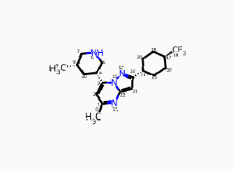 Cc1cc([C@H]2CNC[C@@H](C)C2)n2nc([C@H]3CC[C@H](C(F)(F)F)CC3)cc2n1